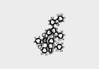 O=P1(c2ccccc2)c2ccccc2C2(c3ccccc3N(c3ccccc3)c3cc(-n4c5ccccc5c5cc(-c6cccc7c6sc6ccccc67)ccc54)ccc32)c2cc3c(cc21)oc1ccccc13